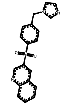 O=S(=O)(c1ccc(Cn2ccnc2)cc1)c1cnc2ccccc2c1